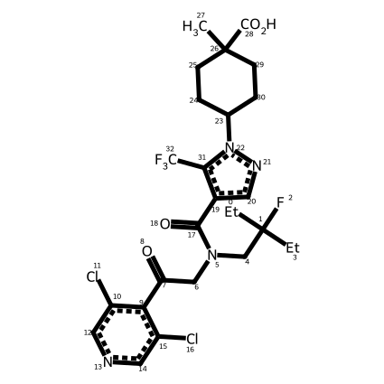 CCC(F)(CC)CN(CC(=O)c1c(Cl)cncc1Cl)C(=O)c1cnn(C2CCC(C)(C(=O)O)CC2)c1C(F)(F)F